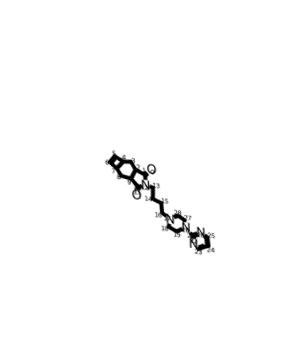 O=C1C2CC3C=CC3CC2C(=O)N1CCCCN1CCN(c2ncccn2)CC1